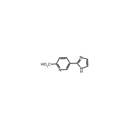 O=C(O)c1ccc(-c2ncc[nH]2)cn1